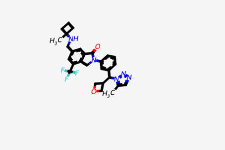 Cc1cnnn1C(c1cccc(N2Cc3c(cc(CNC4(C)CCC4)cc3C(F)(F)F)C2=O)c1)C1COC1